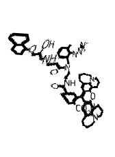 Cc1cccc(CN(CCNC(=O)c2ccc(C(=O)O)c(C3=c4cc5c6c(c4Oc4c3cc3c7c4CCCN7CCCC3)CCC[N+]=6CCCC5)c2)C(=O)CCNC[C@H](O)COc2cccc3ccccc23)c1N=[N+]=[N-]